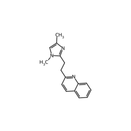 Cc1cn(C)c(CCc2ccc3ccccc3n2)n1